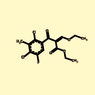 CCOC=C(C(=O)OCC)C(=O)c1cc(F)c(Cl)c(C)c1Cl